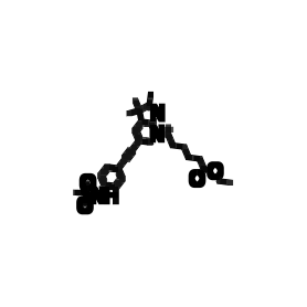 CCOC(=O)CCCCC[n+]1cc(C#Cc2ccc(NS(C)(=O)=O)cc2)cc2c1N=C(C)C2(C)C